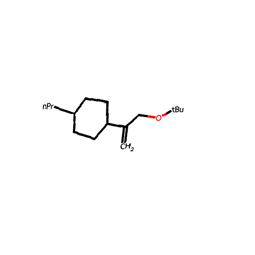 C=C(COC(C)(C)C)C1CCC(CCC)CC1